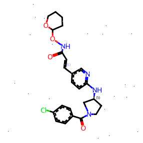 O=C(/C=C/c1ccc(N[C@H]2CCN(C(=O)c3ccc(Cl)cc3)C2)nc1)NOC1CCCCO1